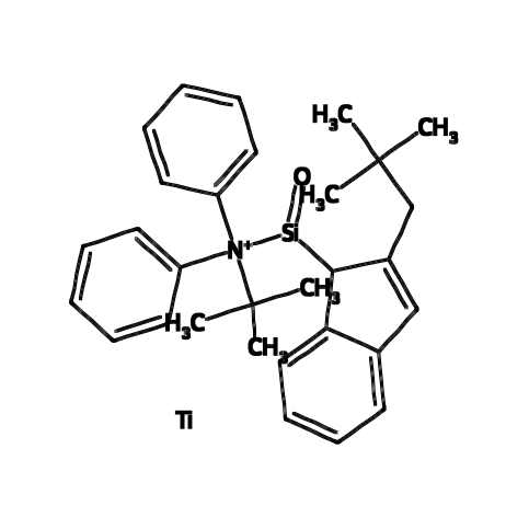 CC(C)(C)CC1=Cc2ccccc2C1[Si](=O)[N+](c1ccccc1)(c1ccccc1)C(C)(C)C.[Ti]